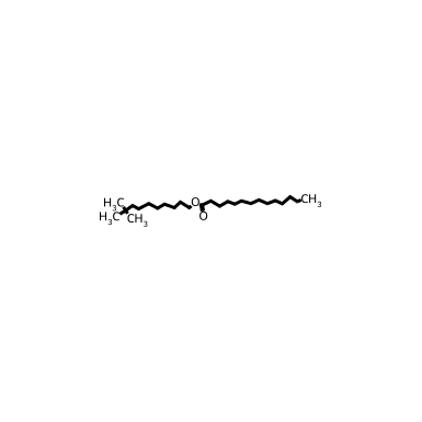 CCCCCCCCCCCCCC(=O)OCCCCCCCCC(C)(C)C